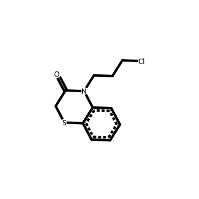 O=C1CSc2ccccc2N1CCCCl